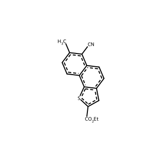 CCOC(=O)c1cc2ccc3c(C#N)c(C)ccc3c2s1